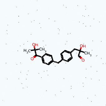 CC(O)(C=O)Cc1ccc(Cc2ccc(C(=O)C(C)(C)O)cc2)cc1